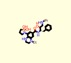 CCN1CCNc2c1cc(C(=O)N[C@@H](Cc1ccccc1)[C@@H](O)CNC(C)C)cc2N1CCCS1(O)O